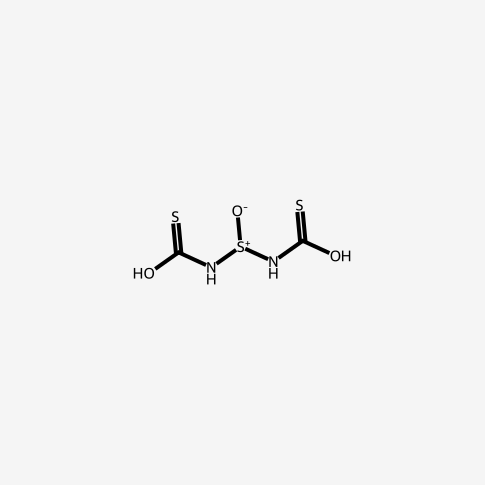 [O-][S+](NC(O)=S)NC(O)=S